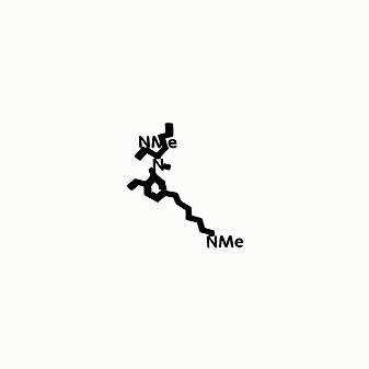 C=CCCC(C(=C)NC)N(C)Cc1cc(CCCCCCCNC)ccc1C=C